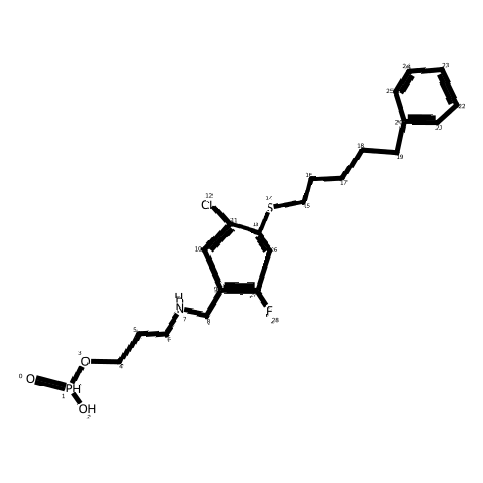 O=[PH](O)OCCCNCc1cc(Cl)c(SCCCCCc2ccccc2)cc1F